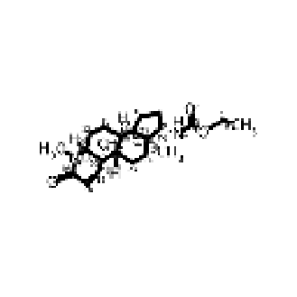 CCOC(=O)N[C@H]1CC[C@H]2[C@@H]3CC[C@H]4N(C)C(=O)C=C[C@]4(C)[C@H]3CC[C@]12C